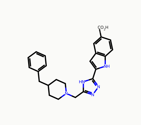 O=C(O)c1ccc2[nH]c(-c3nnc(CN4CCC(Cc5ccccc5)CC4)[nH]3)cc2c1